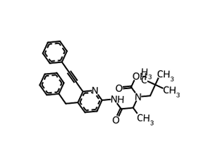 CC(C(=O)Nc1ccc(Cc2ccccc2)c(C#Cc2ccccc2)n1)N(CC(C)(C)C)C(=O)O